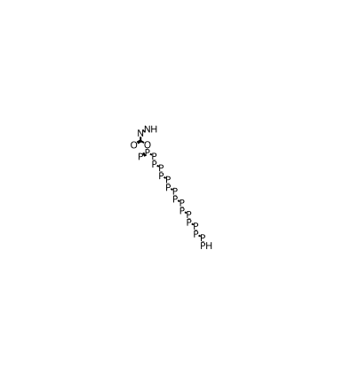 N=NC(=O)OP(#P)P=PP=PP=PP=PP=PP=PP=PP=P